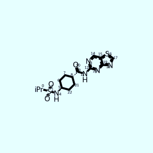 CC(C)S(=O)(=O)N[C@H]1CC[C@H](C(=O)Nc2ncc3scnc3n2)CC1